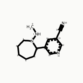 CNN1CCCCCC1c1cncc(C#N)c1